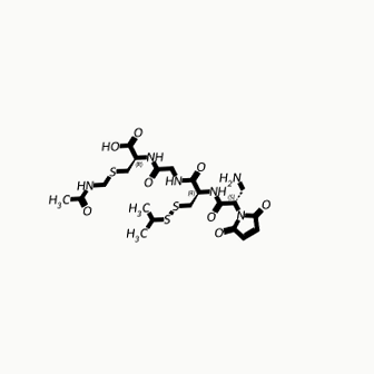 CC(=O)NCSC[C@H](NC(=O)CNC(=O)[C@H](CSSC(C)C)NC(=O)[C@H](CN)N1C(=O)C=CC1=O)C(=O)O